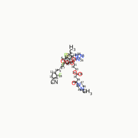 C[C@@H](S[C@H]1CO[C@H](C=CC=Cc2ccc(C#N)cc2F)OC1)[C@@](Cn1cncn1)(OC(=O)CCCOC(=O)CCC(=O)N1CCN(C)CC1)c1ccc(F)cc1F